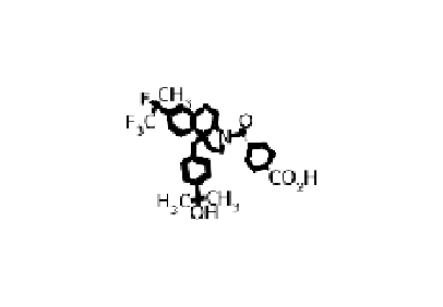 CC(C)(O)c1ccc(CC23CCN(C(=O)[C@H]4CC[C@H](C(=O)O)CC4)C2CCc2cc(C(C)(F)C(F)(F)F)ccc23)cc1